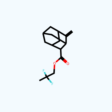 C=C1C2CC3CC(C2)C(C(=O)OCC(C)(F)F)C1C3